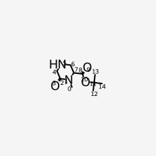 CN1C(=O)CNCC1C(=O)OC(C)(C)C